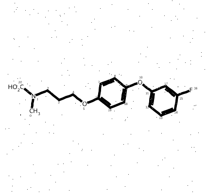 CN(CCCOc1ccc(Oc2cccc(F)c2)cc1)C(=O)O